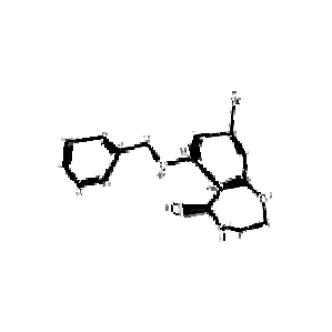 O=C1NCCOc2cc(Br)cc(OCc3ccccc3)c21